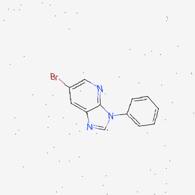 Brc1cnc2c(c1)n[c]n2-c1ccccc1